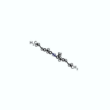 C=CC(=O)OCCCCOc1ccc(C(=O)Oc2ccc(/C=N/N=C/c3ccc(OC(=O)c4ccc(OCCCCOC(=O)C=C)cc4)c(OCC)c3)cc2)cc1